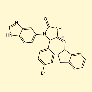 O=C1N/C(=N/C2CCc3ccccc32)C(c2ccc(Br)cc2)N1c1ccc2[nH]cnc2c1